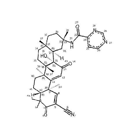 CC1(C)C(=O)C(C#N)=C[C@]2(C)C3=CC(=O)[C@]4(O)[C@@H]5C[C@@](C)(NC(=O)c6ccncn6)CC[C@@]5(C)CC[C@@]4(C)[C@]3(C)CC[C@@H]12